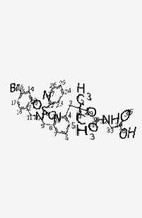 CC(C)(Cc1cccc(CN(Cc2ccc(Br)cc2)S(=O)(=O)c2ccccn2)n1)OC(=O)NCC(=O)O